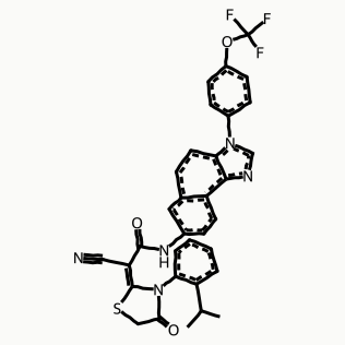 CC(C)c1ccccc1N1C(=O)CSC1=C(C#N)C(=O)Nc1ccc2c(ccc3c2ncn3-c2ccc(OC(F)(F)F)cc2)c1